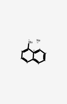 CC(C)(C)c1cccc2ccccc12.[Na]